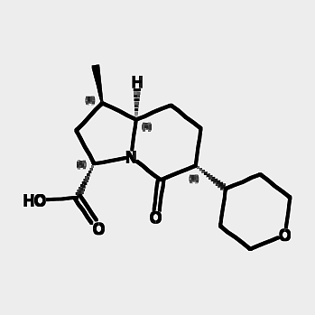 C[C@@H]1C[C@@H](C(=O)O)N2C(=O)[C@@H](C3CCOCC3)CC[C@H]12